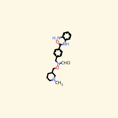 CN1CCCC(CON(C=O)Cc2ccc(C(=O)Nc3ccccc3N)cc2)C1